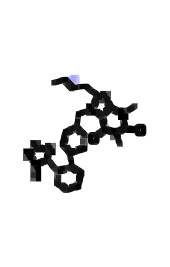 C/C=C/Cc1nc2c(c(=O)n(C)c(=O)n2C)n1Cc1ccc(-c2ccccc2-c2nnn[nH]2)cc1